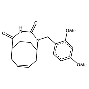 COc1ccc(CN2C(=O)NC(=O)C3CC=CCC2CC3)c(OC)c1